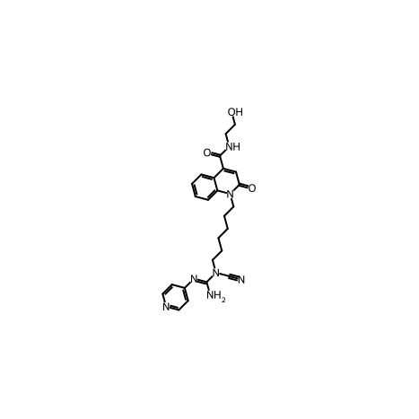 N#CN(CCCCCCn1c(=O)cc(C(=O)NCCO)c2ccccc21)C(N)=Nc1ccncc1